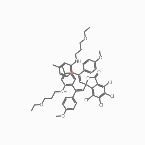 CCOCCCNc1cc(C)ccc1C(=CC1(C=C(c2ccc(OC)cc2)c2ccc(C)cc2NCCCOCC)OC(=O)c2c(Cl)c(Cl)c(Cl)c(Cl)c21)c1ccc(OC)cc1